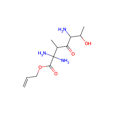 C=CCOC(=O)C(N)(N)C(C)C(=O)C(N)C(C)O